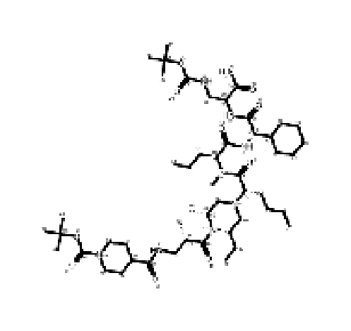 CCCC[C@@H](C(=O)N(C)[C@@H](CCC)C(=O)N[C@H](C(=O)N[C@@H](CNC(=O)OC(C)(C)C)C(N)=O)C1CCCCC1)N(CCCC)C[C@@H](C)NC(=O)[C@@H](C)CNC(=O)C1CCN(C(=O)OC(C)(C)C)CC1